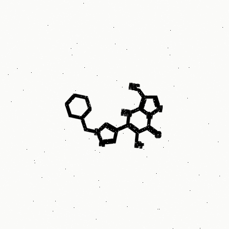 CC(C)c1c(-c2cnn(CC3CCCCC3)c2)[nH]c2c(C#N)cnn2c1=O